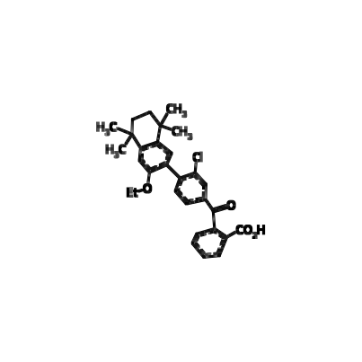 CCOc1cc2c(cc1-c1ccc(C(=O)c3ccccc3C(=O)O)cc1Cl)C(C)(C)CCC2(C)C